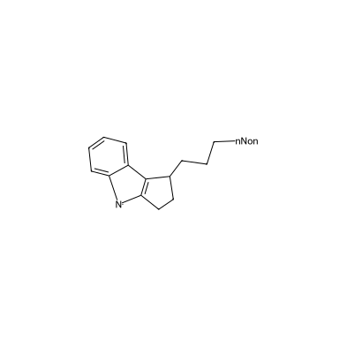 CCCCCCCCCCCCC1CCC2=C1c1ccccc1[N]2